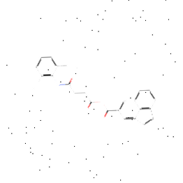 Cc1cccc(C)c1NC(=O)CCC(=O)OC(=O)c1cc2c3c(cccc3c1)C=C2